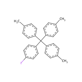 Cc1ccc(C(c2ccc(C)cc2)(c2ccc(C)cc2)c2ccc(I)cc2)cc1